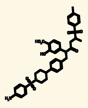 Cc1ccc(S(=O)(=O)N(C)CC(=O)N(Cc2ccc(C3CCN(S(=O)(=O)c4ccc(N)cc4)CC3)cc2)c2ccc(C(=O)O)c(O)c2)cc1